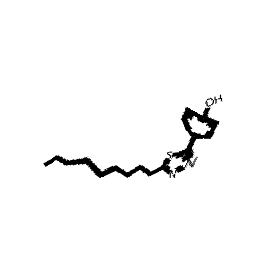 CCCCCCCCCc1nnc(-c2ccc(O)cc2)s1